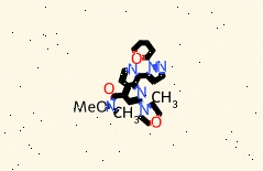 CON(C)C(=O)c1cc(N2CCOC[C@H]2C)nc2c(-c3ccnn3[C@H]3CCCCO3)nccc12